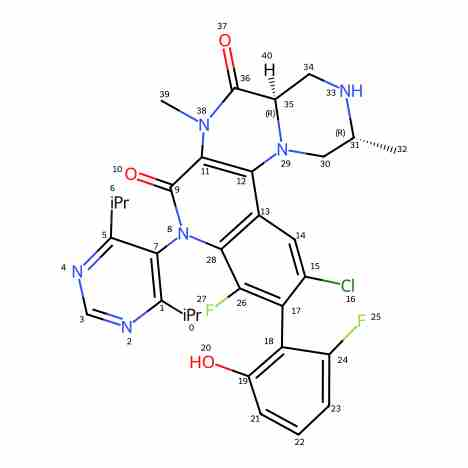 CC(C)c1ncnc(C(C)C)c1-n1c(=O)c2c(c3cc(Cl)c(-c4c(O)cccc4F)c(F)c31)N1C[C@@H](C)NC[C@@H]1C(=O)N2C